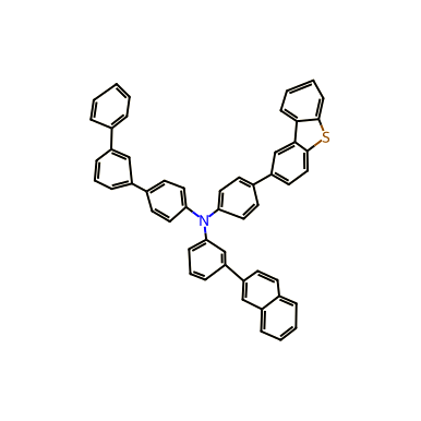 c1ccc(-c2cccc(-c3ccc(N(c4ccc(-c5ccc6sc7ccccc7c6c5)cc4)c4cccc(-c5ccc6ccccc6c5)c4)cc3)c2)cc1